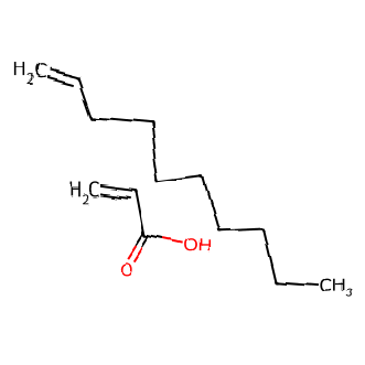 C=CC(=O)O.C=CCCCCCCCC